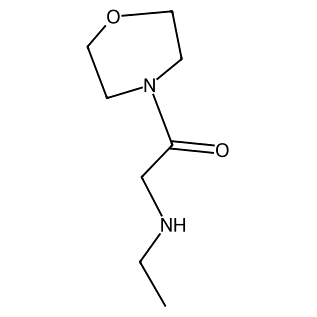 CCNCC(=O)N1CCOCC1